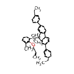 C=CCOc1c(C)cccc1[Si](C)(C)C1c2cc(-c3ccc(CC)cc3)ccc2-c2ccc(-c3ccc(CC)cc3)cc21